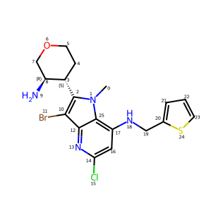 Cn1c([C@H]2CCOC[C@@H]2N)c(Br)c2nc(Cl)cc(NCc3cccs3)c21